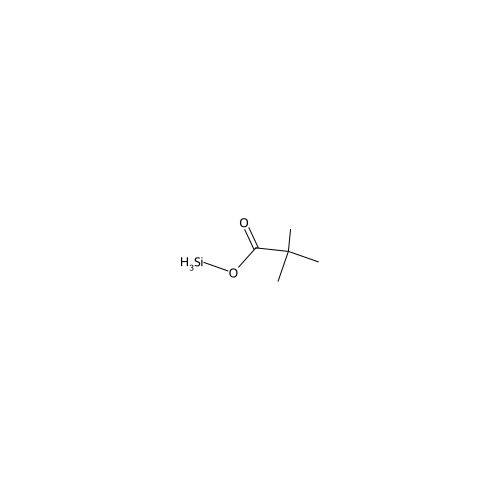 CC(C)(C)C(=O)O[SiH3]